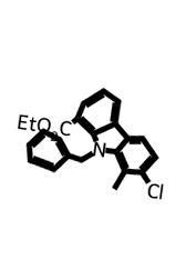 CCOC(=O)c1cccc2c3ccc(Cl)c(C)c3n(Cc3ccccc3)c12